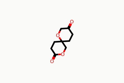 O=C1CCC2(CCC(=O)OC2)OC1